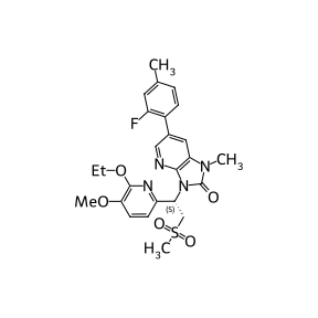 CCOc1nc([C@@H](CS(C)(=O)=O)n2c(=O)n(C)c3cc(-c4ccc(C)cc4F)cnc32)ccc1OC